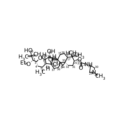 CCO[C@@H]([C@H]1C[C@@H](C)[C@H]2[C@H](O1)[C@H](O)[C@@]1(C)[C@@H]3CC[C@H]4C(C)(C)[C@@H](OC(=O)NC5CN(C)C5)CC[C@@]45C[C@@]35CC[C@]21C)C(C)(C)O